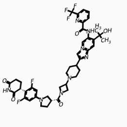 CC(C)(O)c1cc2nc(C3CCN(C4CN(C(=O)[C@@H]5CCN(c6cc(F)c([C@H]7CCC(=O)NC7=O)c(F)c6)C5)C4)CC3)cn2cc1NC(=O)c1cccc(C(F)(F)F)n1